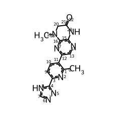 Cc1nc(-c2nnc[nH]2)ccc1-c1cnc2c(n1)N(C)CC(=O)N2